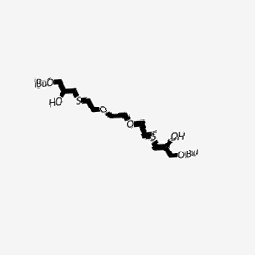 CC(C)COCC(O)CSCCOCCOCCSCC(O)COCC(C)C